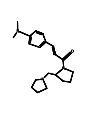 CN(C)c1ccc(C=CC(=O)N2CCCC2CN2CCCC2)cc1